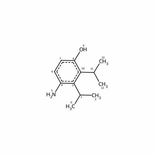 CC(C)c1c(N)ccc(O)c1C(C)C